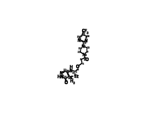 CC[C@@H](COCCC(=O)N1CCN(c2ncc(C(F)(F)F)cn2)CC1)Nc1cn[nH]c(=O)c1C